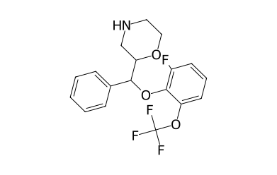 Fc1cccc(OC(F)(F)F)c1OC(c1ccccc1)C1CNCCO1